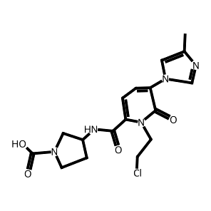 Cc1cn(-c2ccc(C(=O)NC3CCN(C(=O)O)C3)n(CCCl)c2=O)cn1